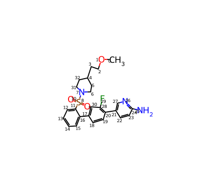 COCCC1CCN(S(=O)(=O)c2ccccc2-c2ccc(-c3ccc(N)nc3)c(F)c2)CC1